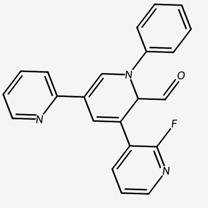 O=CC1C(c2cccnc2F)=CC(c2ccccn2)=CN1c1ccccc1